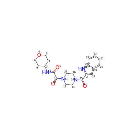 O=C(NC1CCOCC1)C(=O)N1CCN(C(=O)c2cc3ccccc3[nH]2)CC1